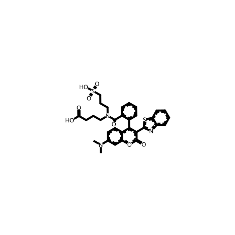 CN(C)c1ccc2c(-c3ccccc3C(=O)N(CCCC(=O)O)CCCS(=O)(=O)O)c(-c3nc4ccccc4s3)c(=O)oc2c1